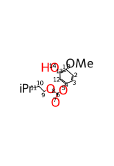 COc1ccc(OC(=O)OCCC(C)C)cc1O